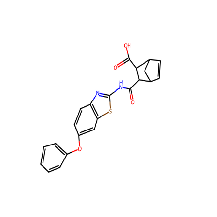 O=C(O)C1C2C=CC(C2)C1C(=O)Nc1nc2ccc(Oc3ccccc3)cc2s1